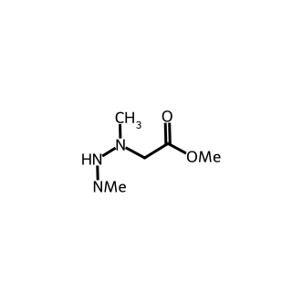 CNNN(C)CC(=O)OC